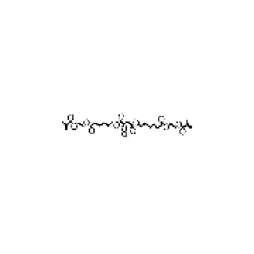 C=C(C)C(=O)OCCOC(=O)CCCCCOC(=O)CC(O)C(=O)OCCCCCC(=O)OCCOC(=O)C(=C)C